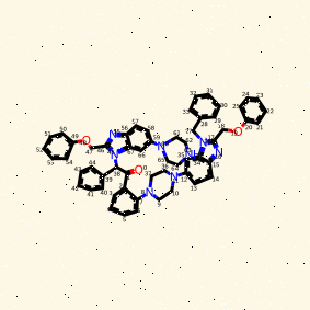 O=C(c1ccccc1N1CCN(c2ccc3nc(COc4ccccc4)n(Cc4ccccc4)c3c2)CC1)C(c1ccccc1)n1c(COc2ccccc2)nc2ccc(N3CCNCC3)cc21